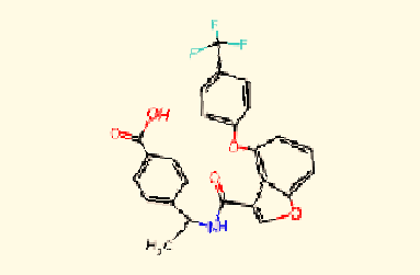 CC(NC(=O)c1coc2cccc(Oc3ccc(C(F)(F)F)cc3)c12)c1ccc(C(=O)O)cc1